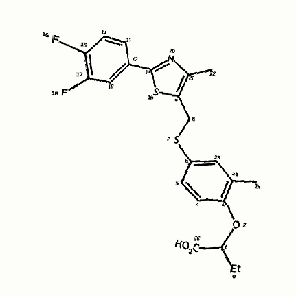 CCC(Oc1ccc(SCc2sc(-c3ccc(F)c(F)c3)nc2C)cc1C)C(=O)O